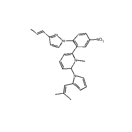 C/C=C/c1ccn(-c2ccc([N+](=O)[O-])cc2C2=CC=CC(n3cccc3C=C(C)C)N2C)n1